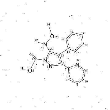 C=C(OC)n1nc(-c2ccccn2)c(-c2ccccc2)c1N(C)OC